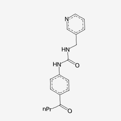 CCCC(=O)c1ccc(NC(=O)NCc2cccnc2)cc1